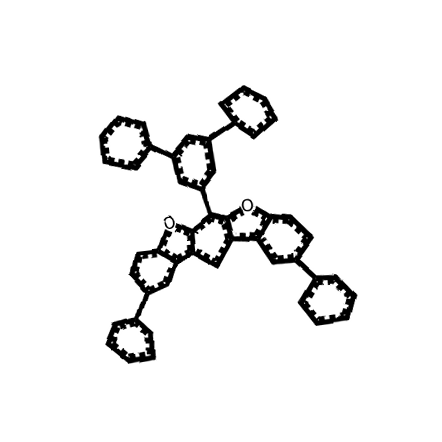 c1ccc(-c2cc(-c3ccccc3)cc(-c3c4oc5ccc(-c6ccccc6)cc5c4cc4c3oc3ccc(-c5ccccc5)cc34)c2)cc1